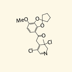 COc1ccc(C(=O)CC2=C(Cl)C=NCC2(C)Cl)c2c1OC1(CCCC1)O2